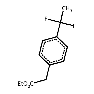 CCOC(=O)Cc1ccc(C(C)(F)F)cc1